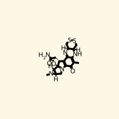 CO[C@@]12[C@H](CC(N)=O)C3=C(C(=O)C(C)=C4N[C@H]5CSSC[C@@H]5N=C43)N1C[C@H]1[C@@H]2N1C